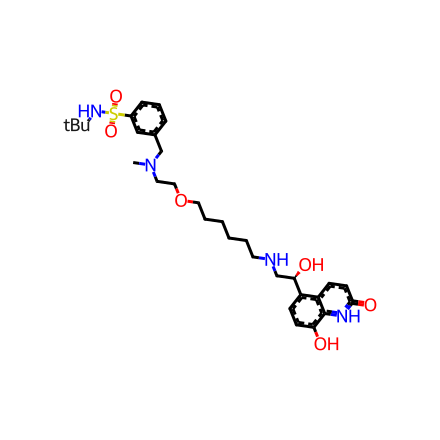 CN(CCOCCCCCCNC[C@@H](O)c1ccc(O)c2[nH]c(=O)ccc12)Cc1cccc(S(=O)(=O)NC(C)(C)C)c1